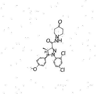 COc1ccc([C@H]2[C@@H](C)C(C(=O)NN3CCC(=O)CC3)=NN2c2ccc(Cl)cc2Cl)cc1